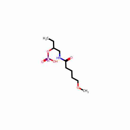 CCC(CNC(=O)CCCCOC)O[PH](=O)O